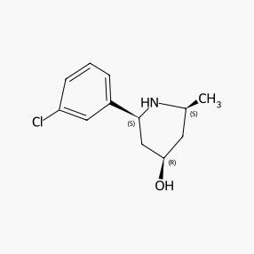 C[C@H]1C[C@@H](O)C[C@@H](c2cccc(Cl)c2)N1